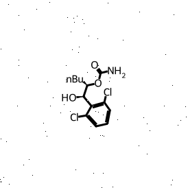 CCCC[C@@H](OC(N)=O)[C@H](O)c1c(Cl)cccc1Cl